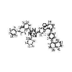 c1ccc(-c2ccc3c(-c4nc(-c5ccccc5)nc(-c5ccc6c(c5)oc5cccc(-c7ccc(-c8cccc9ccccc89)cc7)c56)n4)cccc3c2)cc1